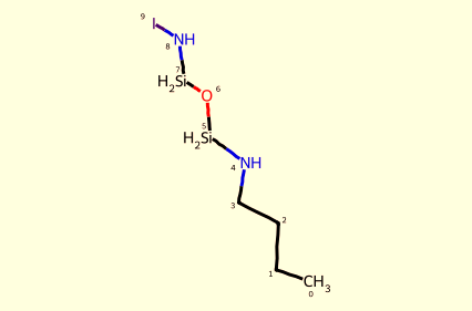 CCCCN[SiH2]O[SiH2]NI